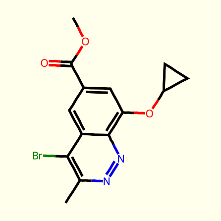 COC(=O)c1cc(OC2CC2)c2nnc(C)c(Br)c2c1